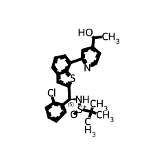 CC(O)c1ccnc(-c2cccc3cc([C@@H](N[S+]([O-])C(C)(C)C)c4ccccc4Cl)sc23)c1